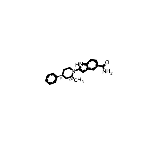 C[C@H]1C[C@@H](c2ccccc2)CCN1c1cc2cc(C(N)=O)ccc2[nH]1